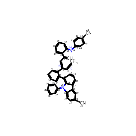 C=C(/C=C(\C=C/C)c1ccccc1-c1cccc2c3cc(C#N)ccc3n(-c3ccccc3)c12)c1ccccc1Nc1ccc(C#N)cc1